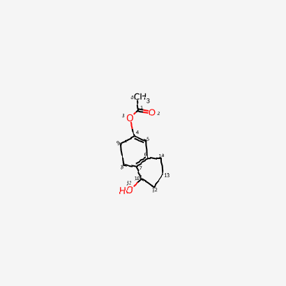 CC(=O)OC1=CC2=C(CC1)C(O)CCC2